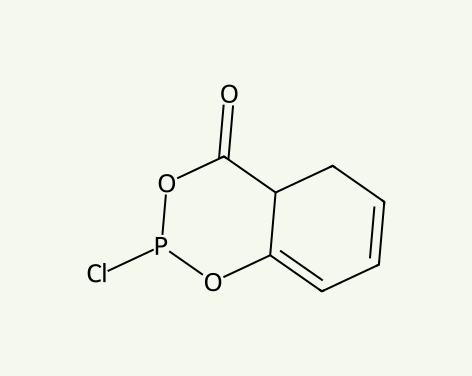 O=C1OP(Cl)OC2=CC=CCC12